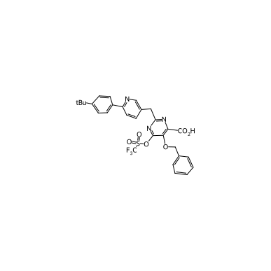 CC(C)(C)c1ccc(-c2ccc(Cc3nc(OS(=O)(=O)C(F)(F)F)c(OCc4ccccc4)c(C(=O)O)n3)cn2)cc1